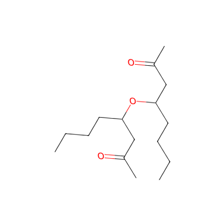 CCCCC(CC(C)=O)OC(CCCC)CC(C)=O